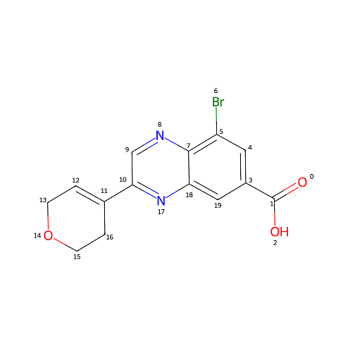 O=C(O)c1cc(Br)c2ncc(C3=CCOCC3)nc2c1